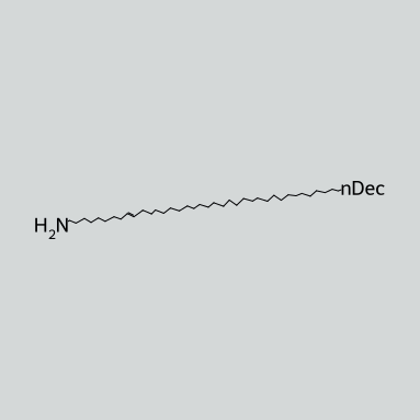 CCCCCCCCCCCCCCCCCCCCCCCCCCCCCCCCCCCCCCC=CCCCCCCCCN